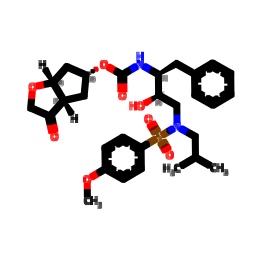 COc1ccc(S(=O)(=O)N(CC(C)C)C[C@@H](O)[C@H](Cc2ccccc2)NC(=O)O[C@@H]2C[C@@H]3C(=O)CO[C@@H]3C2)cc1